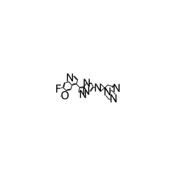 COc1cc2c(-c3cnn4cc(N5CC(CC#N)(N6CCN(C)CC6)C5)cnc34)ccnc2cc1F